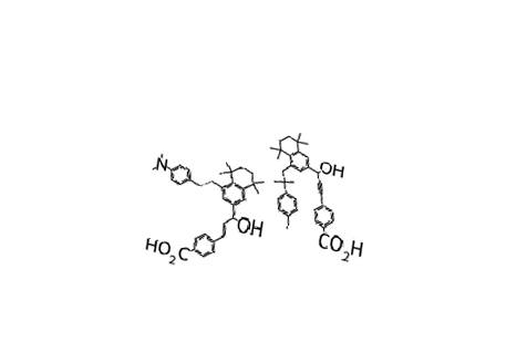 CN(C)c1ccc(CCc2cc(C(O)C=Cc3ccc(C(=O)O)cc3)cc3c2C(C)(C)CCC3(C)C)cc1.Cc1ccc(C(C)(C)Cc2cc(C(O)C#Cc3ccc(C(=O)O)cc3)cc3c2C(C)(C)CCC3(C)C)cc1